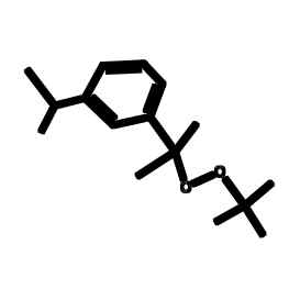 CC(C)c1cccc(C(C)(C)OOC(C)(C)C)c1